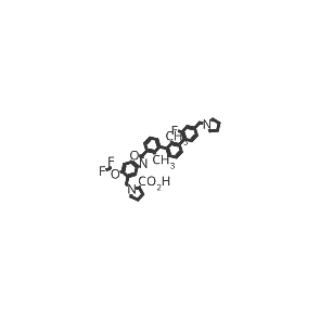 Cc1c(-c2nc3cc(CN4CCC[C@H]4C(=O)O)c(OC(F)F)cc3o2)cccc1-c1cccc(-c2ccc(CN3CCCC3)cc2F)c1C